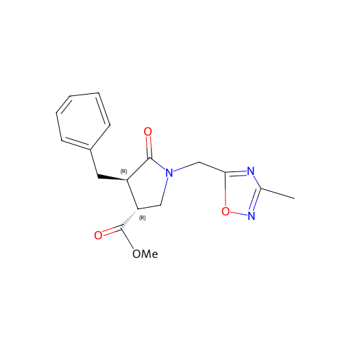 COC(=O)[C@H]1CN(Cc2nc(C)no2)C(=O)[C@@H]1Cc1ccccc1